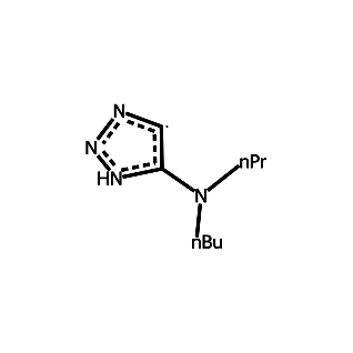 CCCCN(CCC)c1[c]nn[nH]1